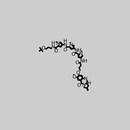 C=C1C[C@@H]2C=Nc3cc(OCCCC(=O)Nc4cc(C(=O)Nc5cc(C(=O)Nc6cc(C(=O)NCCCOC(C)(C)C)n(C)c6)n(C)c5)n(C)c4)c(OC)cc3C(=O)N2C1